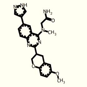 COc1ccc2c(c1)CC(c1nc(N(C)CC(N)=O)c3cc(-c4cn[nH]c4)ccc3n1)CO2